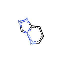 c1cnn2cnnc2c1